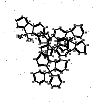 CC1(C)c2ccccc2-c2ccc(N(c3ccc4c(c3)C3(c5ccccc5-4)c4ccccc4-c4ccc(N(c5ccccc5)c5cccc6c5-c5ccccc5C6(c5ccccc5)c5ccccc5)cc43)c3ccccc3-c3ccccc3)cc21